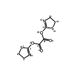 O=C(OC1=NCCS1)C(=O)OC1=NCCS1